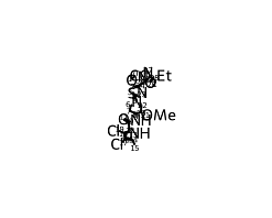 CCOC(=O)Oc1sc(N2CC[C@@H](NC(=O)c3[nH]c(C)c(Cl)c3Cl)[C@@H](OC)C2)nc1-c1nnco1